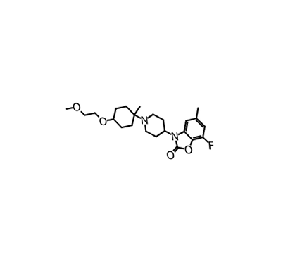 COCCOC1CCC(C)(N2CCC(n3c(=O)oc4c(F)cc(C)cc43)CC2)CC1